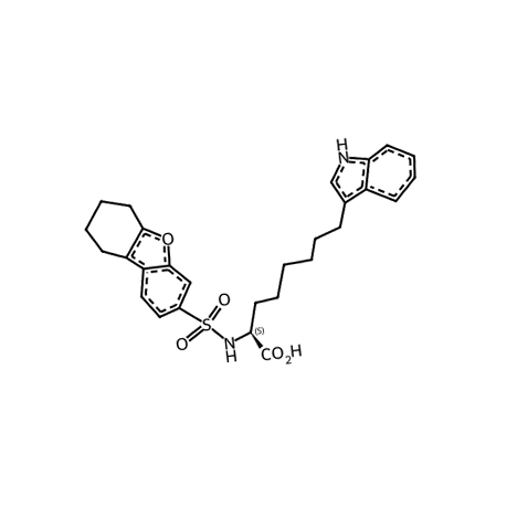 O=C(O)[C@H](CCCCCCc1c[nH]c2ccccc12)NS(=O)(=O)c1ccc2c3c(oc2c1)CCCC3